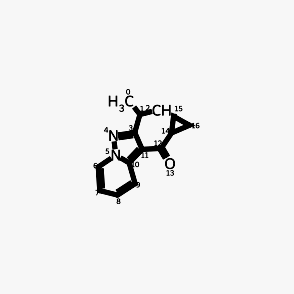 CC(C)c1nn2ccccc2c1C(=O)C1CC1